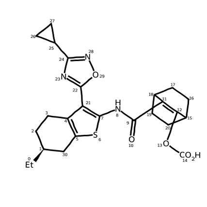 CC[C@H]1CCc2c(sc(NC(=O)C3=C(OC(=O)O)C4CCC3CC4)c2-c2nc(C3CC3)no2)C1